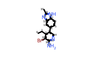 CCc1c(-c2ccc3[nH]c(C)nc3c2)cnc(N)c1Br